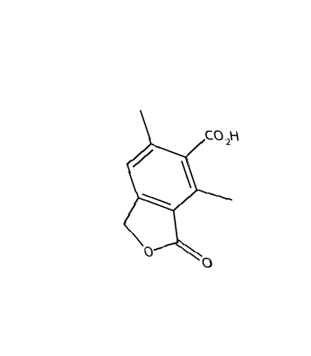 Cc1cc2c(c(C)c1C(=O)O)C(=O)OC2